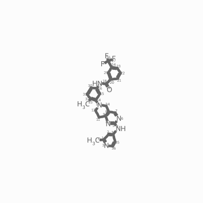 Cc1cc(Nc2ncc3c(n2)CCN(c2cc(NC(=O)c4cccc(C(F)(F)F)c4)ccc2C)C3)ccn1